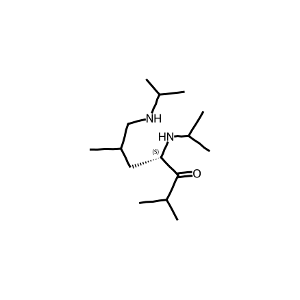 CC(CNC(C)C)C[C@H](NC(C)C)C(=O)C(C)C